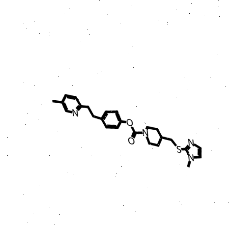 Cc1ccc(CCc2ccc(OC(=O)N3CCC(CSc4nccn4C)CC3)cc2)nc1